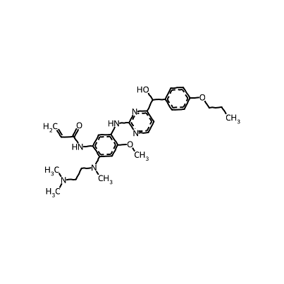 C=CC(=O)Nc1cc(Nc2nccc(C(O)c3ccc(OCCC)cc3)n2)c(OC)cc1N(C)CCN(C)C